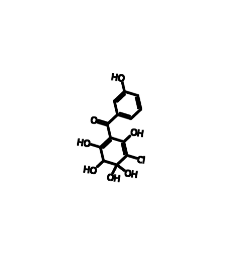 O=C(C1=C(O)C(O)C(O)(O)C(Cl)=C1O)c1cccc(O)c1